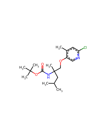 Cc1cc(Cl)ncc1OCC(C)(CC(C)C)NC(=O)OC(C)(C)C